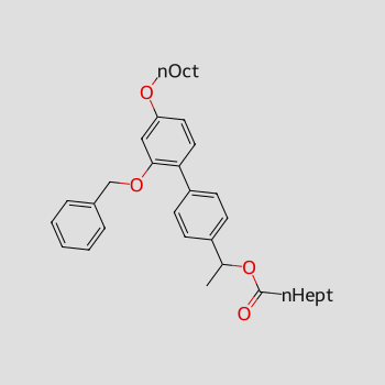 CCCCCCCCOc1ccc(-c2ccc(C(C)OC(=O)CCCCCCC)cc2)c(OCc2ccccc2)c1